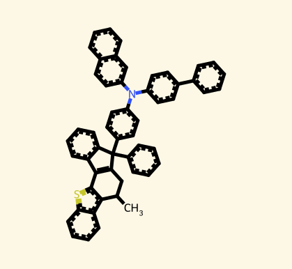 CC1CC2=C(c3ccccc3C2(c2ccccc2)c2ccc(N(c3ccc(-c4ccccc4)cc3)c3ccc4ccccc4c3)cc2)c2sc3ccccc3c21